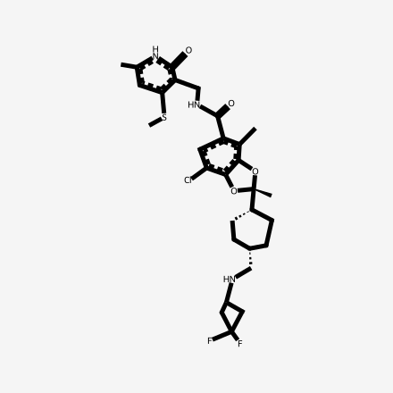 CSc1cc(C)[nH]c(=O)c1CNC(=O)c1cc(Cl)c2c(c1C)O[C@](C)([C@H]1CC[C@@H](CNC3CC(F)(F)C3)CC1)O2